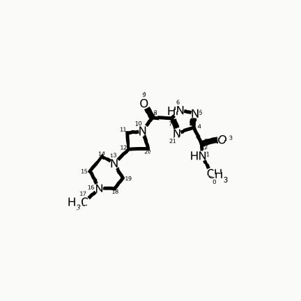 CNC(=O)c1n[nH]c(C(=O)N2CC(N3CCN(C)CC3)C2)n1